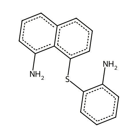 Nc1ccccc1Sc1cccc2cccc(N)c12